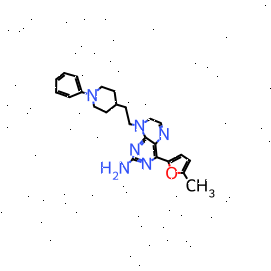 Cc1ccc(-c2nc(N)nc3c2N=CCN3CCC2CCN(c3ccccc3)CC2)o1